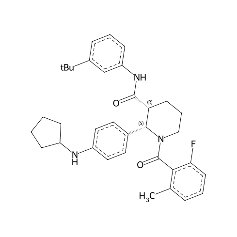 Cc1cccc(F)c1C(=O)N1CCC[C@@H](C(=O)Nc2cccc(C(C)(C)C)c2)[C@H]1c1ccc(NC2CCCC2)cc1